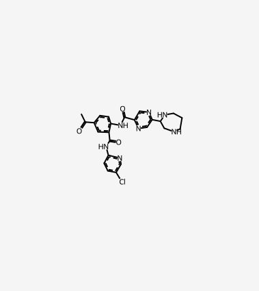 CC(=O)c1ccc(NC(=O)c2cnc(C3CNCCCN3)cn2)c(C(=O)Nc2ccc(Cl)cn2)c1